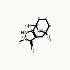 Cn1[nH]c2c(c1=O)C[C@H]1CCC[C@@H]2N1